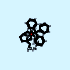 CCOC(=O)CC12CCC(CN(C(c3ccccc3)(c3ccccc3)c3ccccc3)C1)N2C(=O)OC(C)(C)C